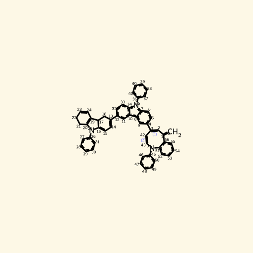 C=C1/C=C(c2ccc3c(c2)c2cc(C4=CC=C5C(C4)C4=C(CCC=C4)N5c4ccccc4)ccc2n3-c2ccccc2)\C=C/N(c2ccccc2)c2ccccc21